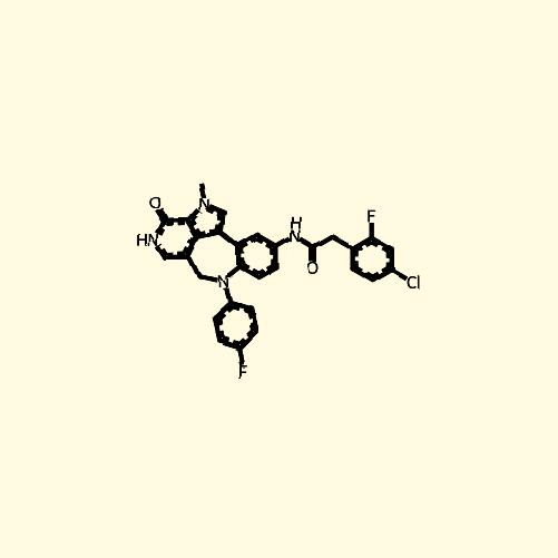 Cn1cc2c3c(c[nH]c(=O)c31)CN(c1ccc(F)cc1)c1ccc(NC(=O)Cc3ccc(Cl)cc3F)cc1-2